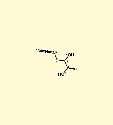 C[C@@H](O)[C@H](O)CN=[N+]=[N-]